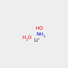 N.O.[Li+].[OH-]